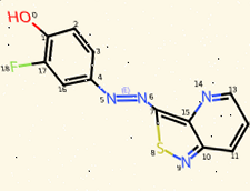 Oc1ccc(/N=N/c2snc3cccnc23)cc1F